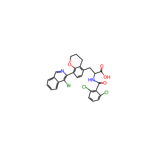 O=C(NC(Cc1ccc(-c2ncc3ccccc3c2Br)c2c1CCCO2)C(=O)O)c1c(Cl)cccc1Cl